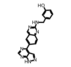 Oc1cccc(CNc2ncc3cc(-c4ncnc5[nH]ncc45)ccc3n2)c1